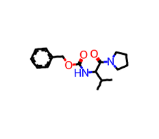 CC(C)C(NC(=O)OCc1ccccc1)C(=O)N1CCCC1